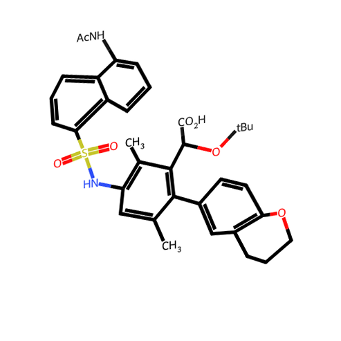 CC(=O)Nc1cccc2c(S(=O)(=O)Nc3cc(C)c(-c4ccc5c(c4)CCCO5)c(C(OC(C)(C)C)C(=O)O)c3C)cccc12